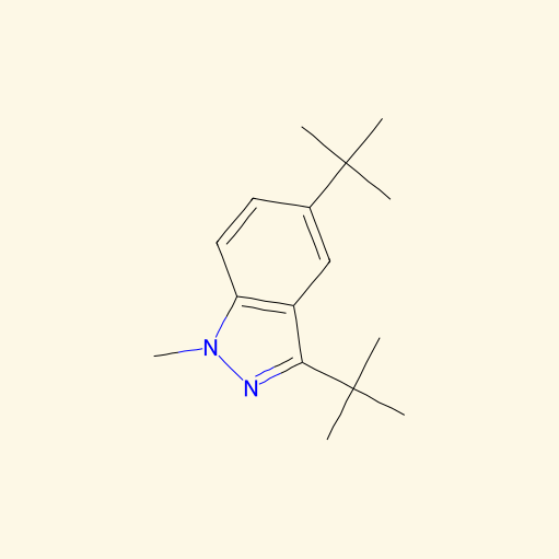 Cn1nc(C(C)(C)C)c2cc(C(C)(C)C)ccc21